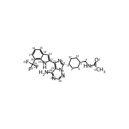 CC(=O)NC[C@H]1CC[C@H](c2nc(-c3cc4cccc(C(F)(F)F)c4[nH]3)c3c(N)ncnn32)CC1